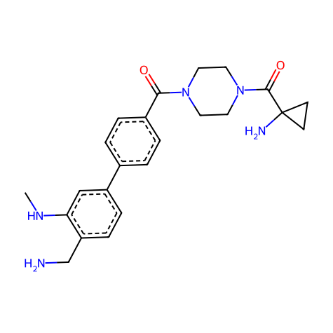 CNc1cc(-c2ccc(C(=O)N3CCN(C(=O)C4(N)CC4)CC3)cc2)ccc1CN